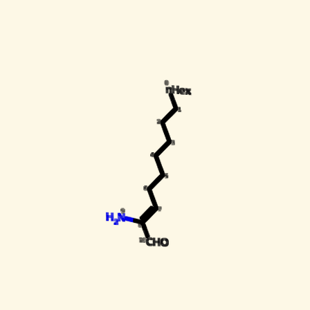 CCCCCCCCCCCCC=C(N)C=O